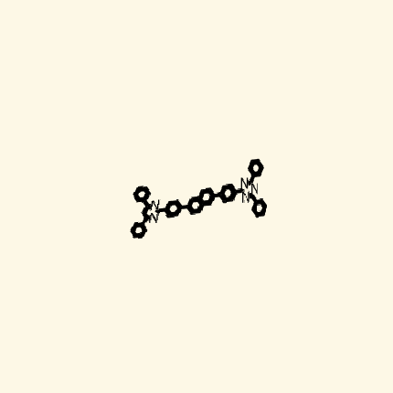 c1ccc(-c2cc(-c3ccccc3)nc(-c3ccc(-c4ccc5cc(-c6ccc(-c7nc(-c8ccccc8)nc(-c8ccccc8)n7)cc6)ccc5c4)cc3)n2)cc1